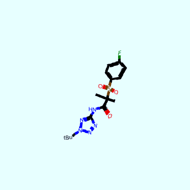 CC(C)(C)n1nnc(NC(=O)C(C)(C)S(=O)(=O)c2ccc(F)cc2)n1